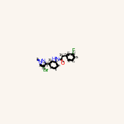 Cn1cc(Br)c(-c2cccc(NC(=O)Cc3cccc(F)c3)c2)n1